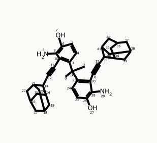 CC(C)(c1ccc(O)c(N)c1C#CC1C2CC3CC(C2)CC1C3)c1ccc(O)c(N)c1C#CC1C2CC3CC(C2)CC1C3